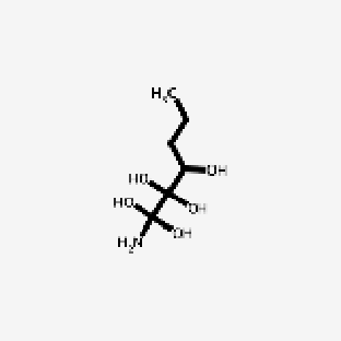 CCCC(O)C(O)(O)C(N)(O)O